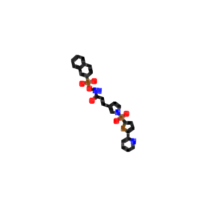 O=C(/C=C/c1ccn(S(=O)(=O)c2ccc(-c3ccccn3)s2)c1)NOS(=O)(=O)c1ccc2ccccc2c1